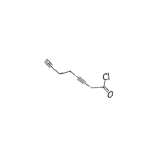 C#CCCC#CCC(=O)Cl